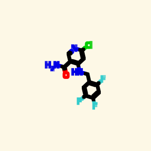 NC(=O)c1cnc(Cl)cc1NCc1cc(F)c(F)cc1F